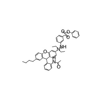 CCCCc1ccc2c(c1)C(c1ccccc1NC(C)=O)c1ccc([N+](CC)(CC)Nc3cccc(S(=O)(=O)Oc4ccccc4)c3)cc1O2